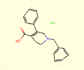 Cl.O=C(O)C1=C(c2ccccc2)CN(Cc2ccccc2)CC1